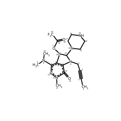 CC#CCN1c2c(c(N(C)C)nn(C)c2=O)N(OC(=O)C(F)(F)F)C1N1CCNCC1